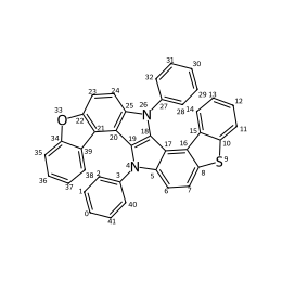 c1ccc(-n2c3ccc4sc5ccccc5c4c3c3c2c2c4c(ccc2n3-c2ccccc2)oc2ccccc24)cc1